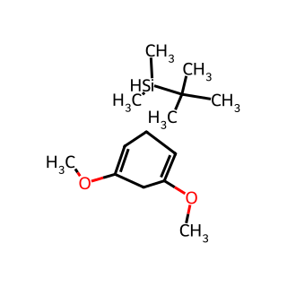 COC1=CCC=C(OC)C1.C[SiH](C)C(C)(C)C